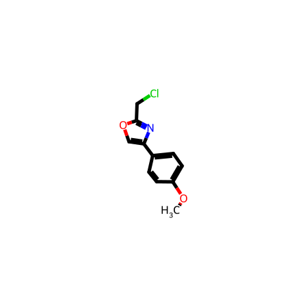 COc1ccc(-c2coc(CCl)n2)cc1